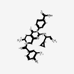 C=CC(Nc1nc2c(c(=O)n1-c1ccc(C(=O)NC)cc1)CC(C)N(C(=O)c1ccc(Br)c(C(F)(F)F)c1)C2)C1CC1